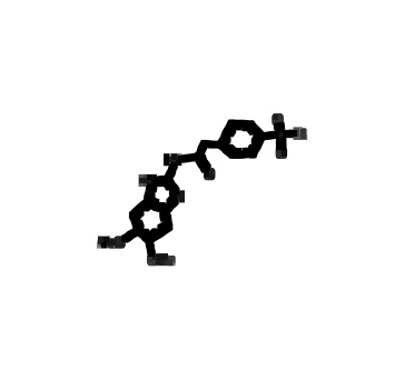 CCS(=O)(=O)c1ccc(CC(=O)Nc2nc3cc(OC)c(OC)cc3[nH]2)cc1